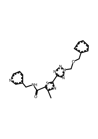 Cc1nc(-c2nnn(COCc3ccccc3)n2)sc1C(=O)NCc1cccnc1